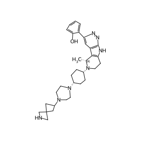 C[C@@H]1c2c([nH]c3nnc(-c4ccccc4O)cc23)CCN1[C@H]1CC[C@@H](N2CCN(C3CC4(CNC4)C3)CC2)CC1